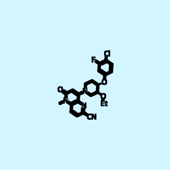 CCO[C@H]1CN(c2cc(=O)n(C)c3ccc(C#N)nc23)CC[C@@H]1Oc1ccc(Cl)c(F)c1